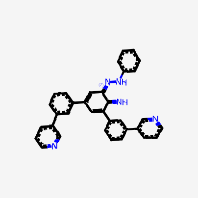 N=C1C(c2cccc(-c3cccnc3)c2)=CC(c2cccc(-c3cccnc3)c2)=C/C1=N/Nc1ccccc1